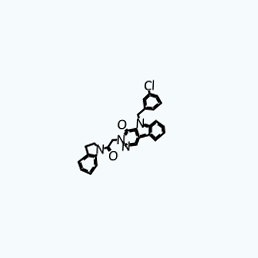 O=C(Cn1ncc2c3ccccc3n(Cc3cccc(Cl)c3)c2c1=O)N1CCc2ccccc21